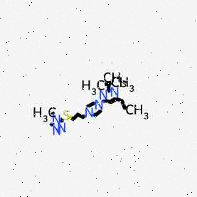 CCCc1cc(N2CCN(CCCSc3nncn3C)CC2)nc(C(C)(C)C)n1